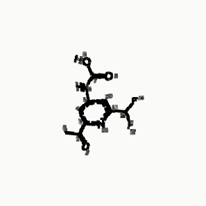 CC(=O)c1cc(NC(=O)O)cc(C(F)F)n1